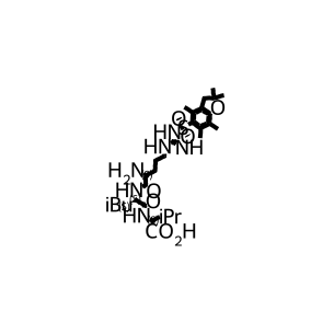 CC[C@H](C)[C@H](NC(=O)[C@@H](N)CCCNC(=N)NS(=O)(=O)c1c(C)c(C)c2c(c1C)CC(C)(C)O2)C(=O)N[C@H](C(=O)O)C(C)C